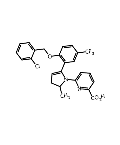 CC1CC=C(c2cc(C(F)(F)F)ccc2OCc2ccccc2Cl)N1c1cccc(C(=O)O)n1